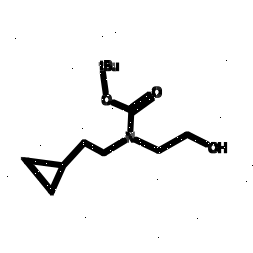 CC(C)(C)OC(=O)N(CCO)CCC1CC1